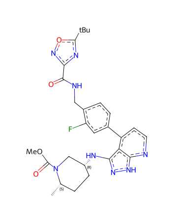 COC(=O)N1C[C@H](Nc2n[nH]c3nccc(-c4ccc(CNC(=O)c5noc(C(C)(C)C)n5)c(F)c4)c23)CC[C@@H]1C